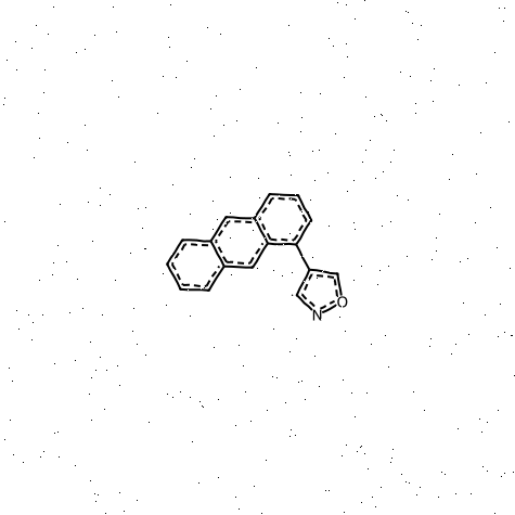 [c]1nocc1-c1cccc2cc3ccccc3cc12